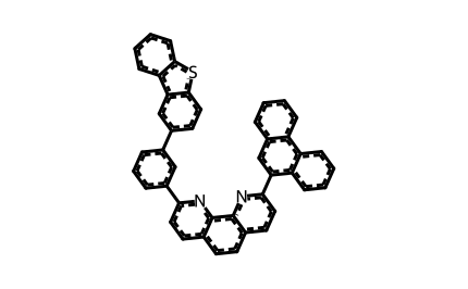 c1cc(-c2ccc3sc4ccccc4c3c2)cc(-c2ccc3ccc4ccc(-c5cc6ccccc6c6ccccc56)nc4c3n2)c1